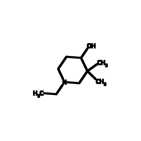 CCN1CCC(O)C(C)(C)C1